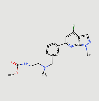 CC(C)n1ncc2c(Cl)cc(-c3cccc(CN(C)CCNC(=O)OC(C)(C)C)c3)nc21